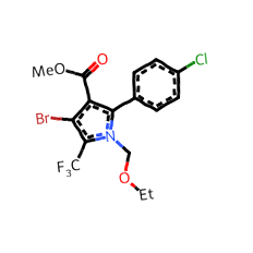 CCOCn1c(-c2ccc(Cl)cc2)c(C(=O)OC)c(Br)c1C(F)(F)F